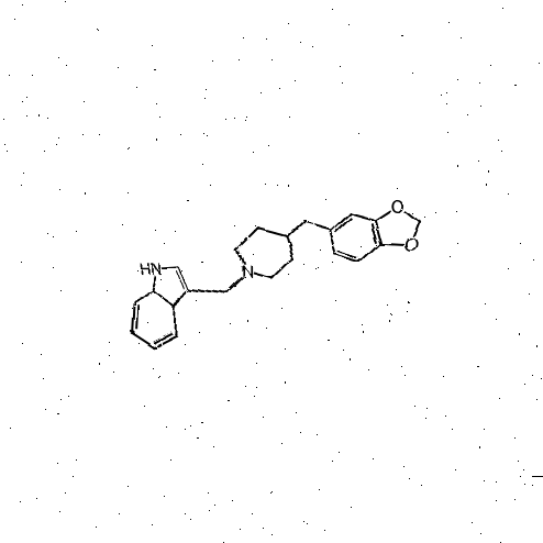 C1=CC2NC=C(CN3CCC(Cc4ccc5c(c4)OCO5)CC3)C2C=C1